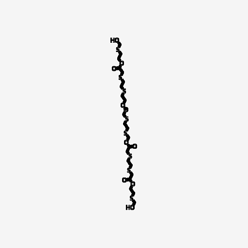 O=C(CSCCSCCOOCSCCSCOC(=O)CSCCSCC(=O)OCCSCO)OCCSCO